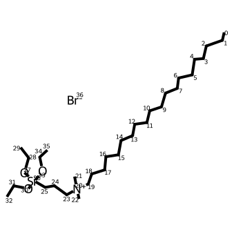 CCCCCCCCCCCCCCCCCCCC[N+](C)(C)CCC[Si](OCC)(OCC)OCC.[Br-]